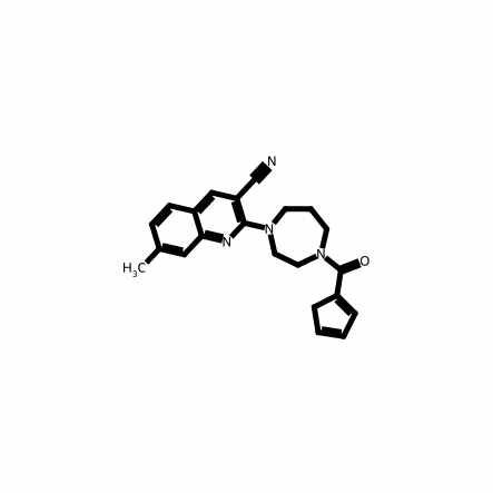 Cc1ccc2cc(C#N)c(N3CCCN(C(=O)C4=CC=CC4)CC3)nc2c1